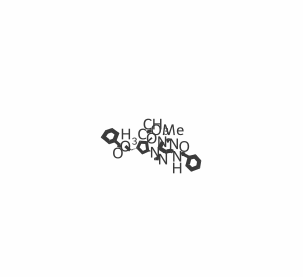 COC(C)(C)O[C@@H]1C[C@@H](COC(=O)c2ccccc2)C[C@H]1n1cnc2c(NC(=O)c3ccccc3)ncnc21